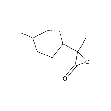 CC1CCC(C2(C)OC2=O)CC1